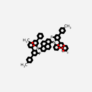 Cc1ccc(-c2cc(F)c(N(c3cccc(-c4ccccc4)c3)c3ccc4ccc5c(N(c6cccc(-c7ccccc7)c6)c6c(F)cc(-c7ccc(C)cc7)cc6-c6ccc(C)cc6)ccc6ccc3c4c65)c(-c3ccc(C)cc3)c2)cc1